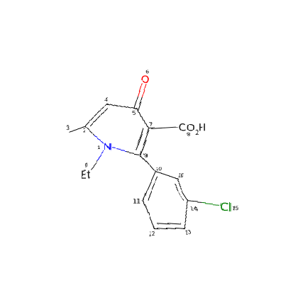 CCn1c(C)cc(=O)c(C(=O)O)c1-c1cccc(Cl)c1